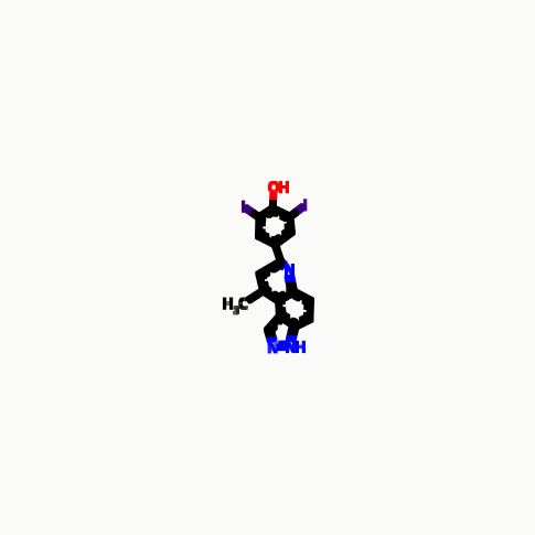 Cc1cc(-c2cc(I)c(O)c(I)c2)nc2ccc3[nH]ncc3c12